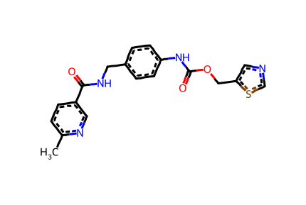 Cc1ccc(C(=O)NCc2ccc(NC(=O)OCc3cncs3)cc2)cn1